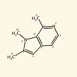 Cc1nccc2cc(C)n(C)c12